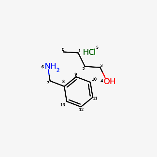 CCCCO.Cl.NCc1ccccc1